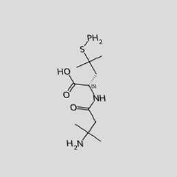 CC(C)(N)CC(=O)N[C@@H](CC(C)(C)SP)C(=O)O